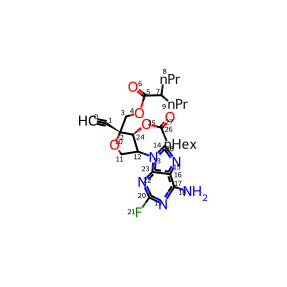 C#C[C@]1(COC(=O)C(CCC)CCC)OCC(n2cnc3c(N)nc(F)nc32)[C@@H]1OC(=O)CCCCCC